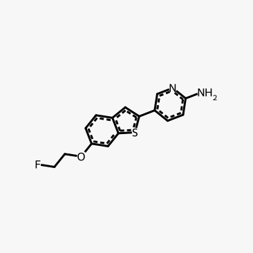 Nc1ccc(-c2cc3ccc(OCCF)cc3s2)cn1